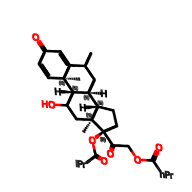 CCCC(=O)OCC(=O)[C@@]1(OC(=O)C(C)C)CC[C@H]2[C@@H]3CC(C)C4=CC(=O)C=C[C@]4(C)[C@H]3C(O)C[C@@]21C